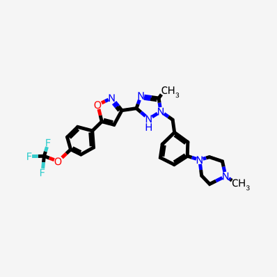 CC1=NC(c2cc(-c3ccc(OC(F)(F)F)cc3)on2)NN1Cc1cccc(N2CCN(C)CC2)c1